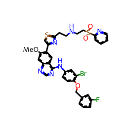 COc1cc2ncnc(Nc3ccc(OCc4cccc(F)c4)c(Br)c3)c2cc1-c1csc(CCNCCS(=O)(=O)c2ccccn2)n1